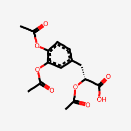 CC(=O)Oc1ccc(C[C@@H](OC(C)=O)C(=O)O)cc1OC(C)=O